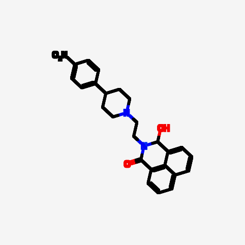 O=C1c2cccc3cccc(c23)C(O)N1CCN1CCC(c2ccc([N+](=O)[O-])cc2)CC1